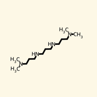 CN(C)CCCNCCCNCCCN(C)C